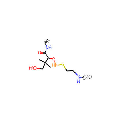 CCCNC(=O)C(OPSCCNC=O)C(C)(C)CO